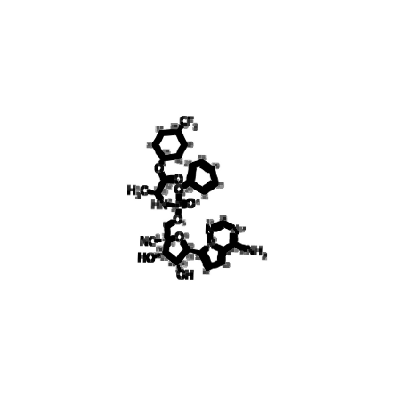 C[C@H](N[P@@](=O)(OC[C@@]1(C#N)O[C@@H](c2ccc3c(N)ncnn23)[C@H](O)[C@@H]1O)Oc1ccccc1)C(=O)O[C@H]1CC[C@@H](C(F)(F)F)CC1